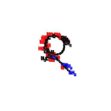 C[C@@H]1OC(=O)CC(O)CC(O)CCC(O)C(O)CC(O)CC2(O)C[C@H](O)C(C(=O)O)C(CC(O[C@@H]3O[C@H](C)C(O)C(N4CCN(C(=O)CCCCCNC(=O)C(N)CCCCN)CC4)[C@@H]3O)/C=C/C=C/C=C/C=C/C=C/C=C/C=C/[C@H](C)C(O)[C@H]1C)O2